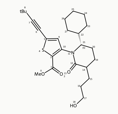 COC(=O)c1sc(C#CC(C)(C)C)cc1N1C(=O)C(CCCO)CC[C@H]1C1CCCCC1